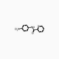 O=C(Nc1ccc([N+](=O)[O-])cc1)c1ccccn1